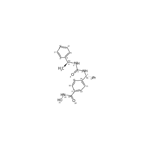 CC(C)[C@@H](NC(=O)N[C@@H](C)c1ccccc1)c1ccc(C(=O)NO)cc1